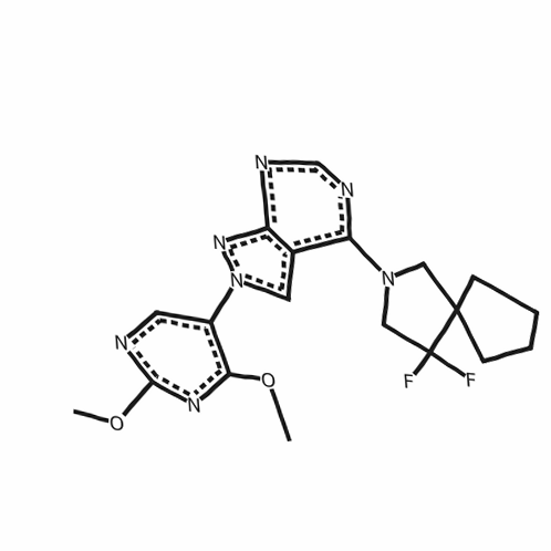 COc1ncc(-n2cc3c(N4CC(F)(F)C5(CCCC5)C4)ncnc3n2)c(OC)n1